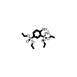 CCOP(=O)(OCC)c1ccc(N)c([PH](P)(OCC)OCC)c1